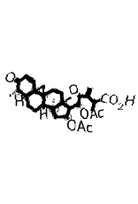 C=C(C(=O)[C@H](OC(C)=O)C1[C@@H](OC(C)=O)C[C@@]2(C)[C@@H]3CC[C@H]4[C@H](C)C(=O)C=C[C@@]45C[C@@]35CC[C@]12C)C(C)C(=O)O